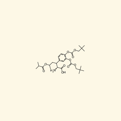 CC(CC(c1ccc(OC(=O)OCC(C)(C)C)c(OC(=O)OCC(C)(C)C)c1)[C@H](N)C(=O)O)OC(=O)C(C)C